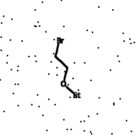 [CH2]COCCBr